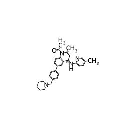 CC(=O)N1c2ccc(-c3ccc(CN4CCCCC4)cc3)cc2[C@H](Nc2ccc(C)cn2)C[C@@H]1C